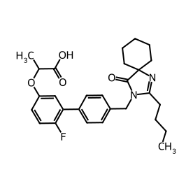 CCCCC1=NC2(CCCCC2)C(=O)N1Cc1ccc(-c2cc(OC(C)C(=O)O)ccc2F)cc1